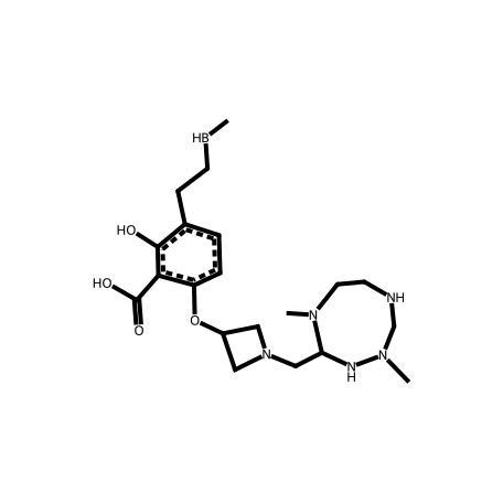 CBCCc1ccc(OC2CN(CC3NN(C)CNCCN3C)C2)c(C(=O)O)c1O